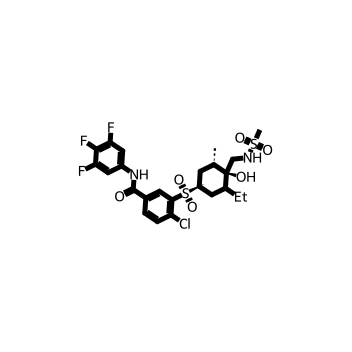 CCC1C[C@@H](S(=O)(=O)c2cc(C(=O)Nc3cc(F)c(F)c(F)c3)ccc2Cl)C[C@H](C)[C@]1(O)CNS(C)(=O)=O